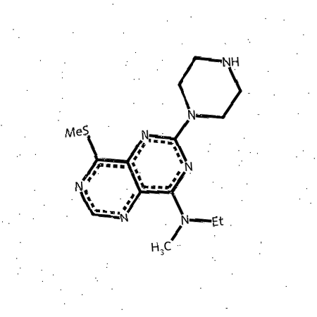 CCN(C)c1nc(N2CCNCC2)nc2c(SC)ncnc12